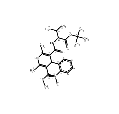 COC(=O)C1=C(C)NC(C)=C(C(=O)N[C@H](C(=O)OC(C)(C)C)C(C)C)C1c1ccccc1[N+](=O)[O-]